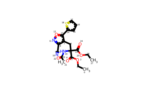 CCOC(=O)C(Cc1c(C#N)noc1-c1cccs1)(NC(C)=O)C(=O)OCC